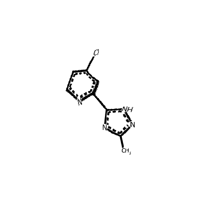 Cc1n[nH]c(-c2cc(Cl)ccn2)n1